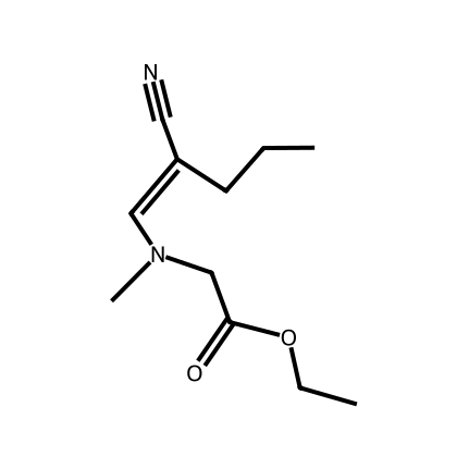 CCC/C(C#N)=C\N(C)CC(=O)OCC